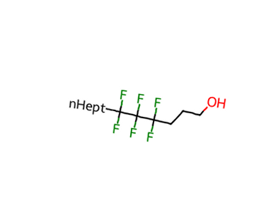 CCCCCCCC(F)(F)C(F)(F)C(F)(F)CCCO